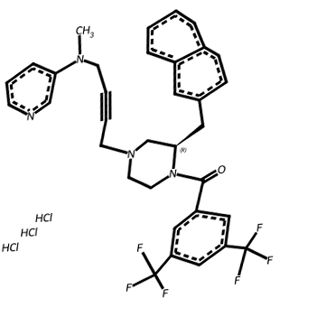 CN(CC#CCN1CCN(C(=O)c2cc(C(F)(F)F)cc(C(F)(F)F)c2)[C@H](Cc2ccc3ccccc3c2)C1)c1cccnc1.Cl.Cl.Cl